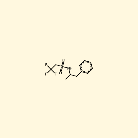 CC(Cc1cc[c]cc1)NS(=O)(=O)CC(F)(F)F